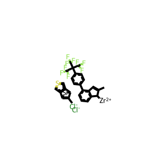 CC1=C2c3cscc3C1[Si]2(C)C.CC1=Cc2c(-c3ccc(C(C(F)(F)F)(C(F)(F)F)C(F)(F)F)cc3)cccc2[CH]1[Zr+2].[Cl-].[Cl-]